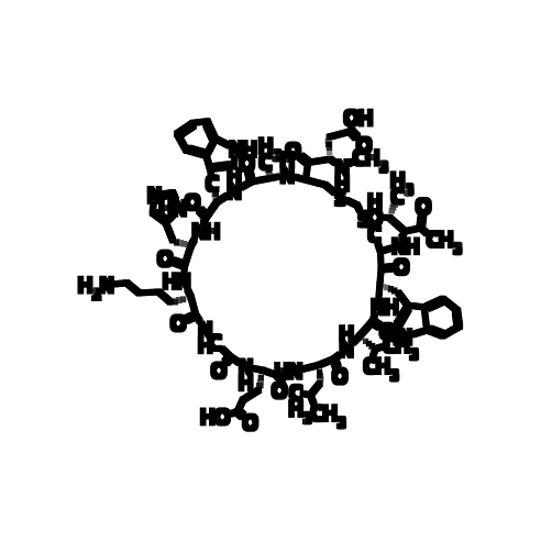 CN[C@@H](CC(=O)O)C(=O)C1CSCSCC(N[C@H](C(C)=O)[C@@H](C)O)C(=O)[C@H](Cc2c[nH]c3ccccc23)NC(=O)[C@H](C(C)C)NC(=O)[C@H](CC(C)C)NC(=O)[C@H](CCC(=O)O)NC(=O)CNC(=O)[C@H](CCCCN)NC(=O)[C@H](Cc2cnc[nH]2)NC(=O)[C@H](Cc2c[nH]c3ccccc23)NC(=O)[C@H](C)N1